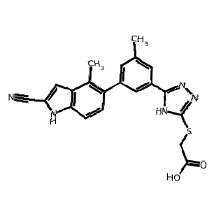 Cc1cc(-c2nnc(SCC(=O)O)[nH]2)cc(-c2ccc3[nH]c(C#N)cc3c2C)c1